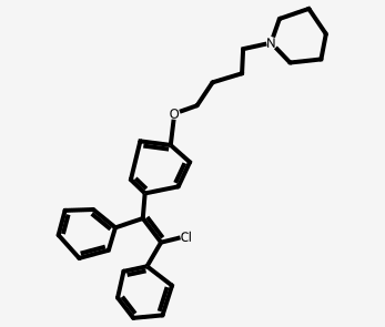 Cl/C(=C(/c1ccccc1)c1ccc(OCCCCN2CCCCC2)cc1)c1ccccc1